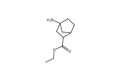 CCOC(=O)C1[CH]C2(N)CCC1C2